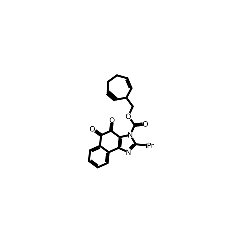 CC(C)c1nc2c(n1C(=O)OCC1C#CCCC=C1)C(=O)C(=O)c1ccccc1-2